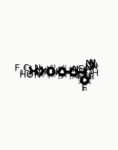 OC(CC(F)(F)F)c1ncc(N2CCN(c3ccc(-c4ccc(C(F)(F)C(O)(Cn5cnnn5)c5ccc(F)cc5F)nc4)cc3)CC2)cn1